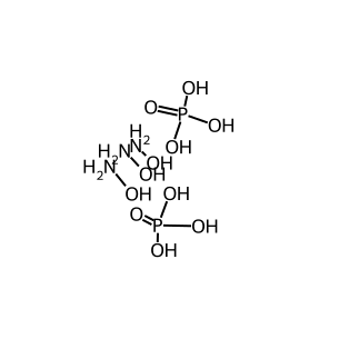 NO.NO.NO.O=P(O)(O)O.O=P(O)(O)O